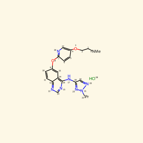 CNCCOc1ccc(Oc2ccc3ncnc(Nc4cnn(C(C)C)n4)c3c2)nc1.Cl